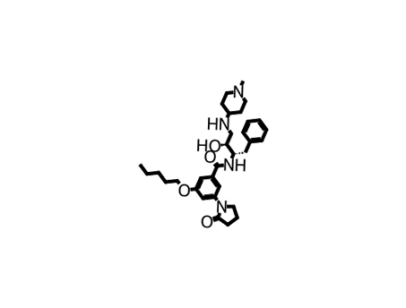 CCCCCOc1cc(C(=O)N[C@@H](Cc2ccccc2)[C@@H](O)CNC2CCN(C)CC2)cc(N2CCCC2=O)c1